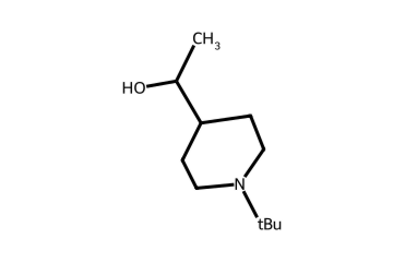 CC(O)C1CCN(C(C)(C)C)CC1